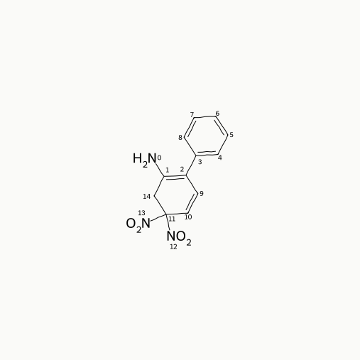 NC1=C(c2ccccc2)C=CC([N+](=O)[O-])([N+](=O)[O-])C1